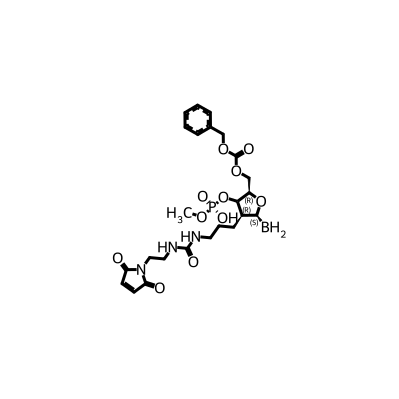 B[C@@H]1O[C@H](COC(=O)OCc2ccccc2)C(OP(=O)(O)OC)[C@@H]1CCCNC(=O)NCCN1C(=O)C=CC1=O